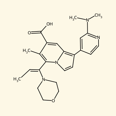 C/C=C(/c1c(C)c(C(=O)O)cc2c(-c3ccnc(N(C)C)c3)ccn12)N1CCOCC1